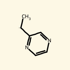 C[CH]c1cnccn1